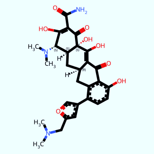 CN(C)Cc1cc(-c2ccc(O)c3c2C[C@H]2C[C@H]4[C@H](N(C)C)C(O)=C(C(N)=O)C(=O)[C@@]4(O)C(O)=C2C3=O)co1